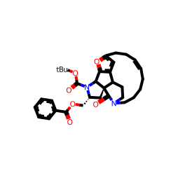 CC(C)(C)OC(=O)N1C2c3oc4cc3C3CCN(CCCC/C=C\CC4)C(=O)[C@@]32C[C@@H]1COC(=O)c1ccccc1